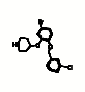 Clc1cccc(COc2ccc(Br)cc2OC2CCNCC2)c1